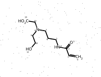 C=CC(=O)NCCCN(CCO)CC(=O)O